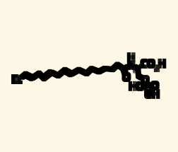 CCC=CCC=CCC=CCCCCCCCC(=O)N[C@@H](COP(=O)(O)O)C(=O)O